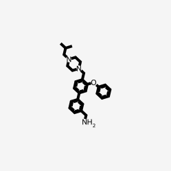 C[C](C)CN1CCN(Cc2ccc(-c3cccc(CN)c3)cc2Oc2ccccc2)CC1